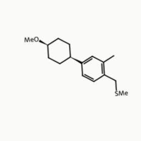 CO[C@H]1CC[C@@H](c2ccc(CSC)c(C)c2)CC1